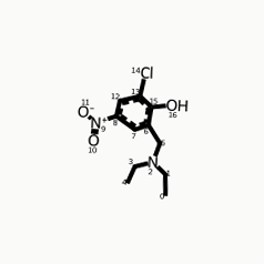 CCN(CC)Cc1cc([N+](=O)[O-])cc(Cl)c1O